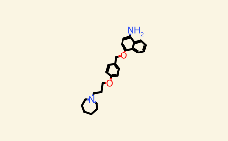 Nc1ccc(OCc2ccc(OCCCN3CCCCCC3)cc2)c2ccccc12